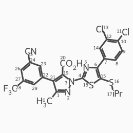 Cc1nn(-c2nc(-c3ccc(Cl)c(Cl)c3)c(SC(C)C)s2)c(C(=O)O)c1-c1cc(C#N)cc(C(F)(F)F)c1